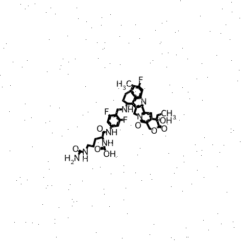 CC[C@@]1(O)C(=O)OCc2c1cc1n(c2=O)Cc2c-1nc1cc(F)c(C)c3c1c2[C@@H](NCc1c(F)cc(NC(=O)C(CCCNC(N)=O)NC(=O)O)cc1F)CC3